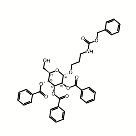 O=C(NCCCO[C@H]1O[C@H](CO)[C@@H](OC(=O)c2ccccc2)[C@H](OC(=O)c2ccccc2)[C@@H]1OC(=O)c1ccccc1)OCc1ccccc1